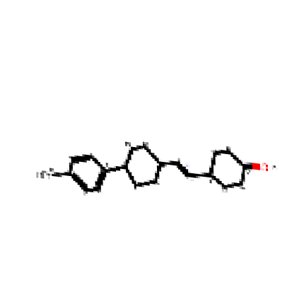 CCCc1ccc(C2CCC(/C=C/C3CCC(=O)CC3)CC2)cc1